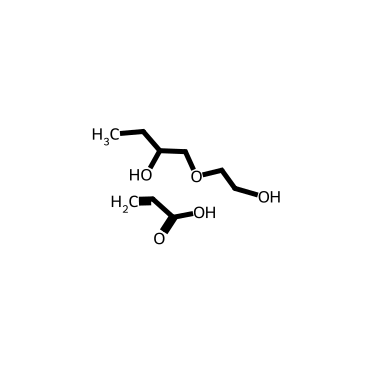 C=CC(=O)O.CCC(O)COCCO